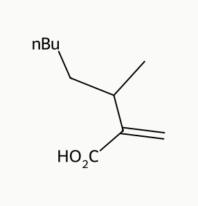 C=C(C(=O)O)C(C)CCCCC